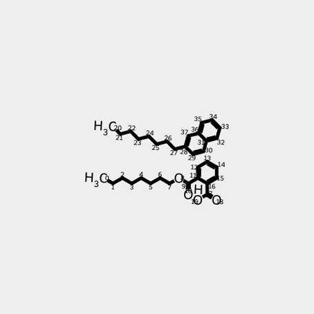 CCCCCCCCOC(=O)c1ccccc1C(=O)O.CCCCCCCCc1ccc2ccccc2c1